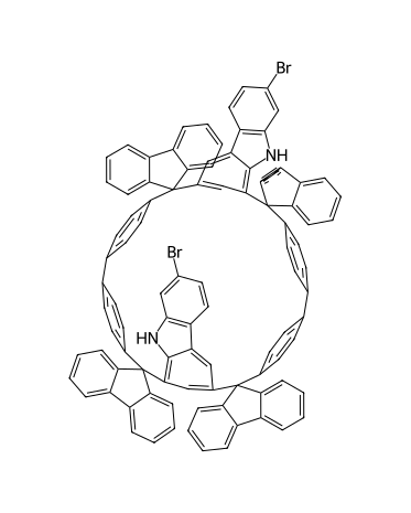 Brc1ccc2c(c1)[nH]c1c3cc(cc12)C1(c2ccc(cc2)-c2ccc(cc2)C2(c4ccccc4-c4ccccc42)c2cc(cc4c2[nH]c2cc(Br)ccc24)C2(c4ccc(cc4)-c4ccc(cc4)C34c3ccccc3-c3ccccc34)c3ccccc3-c3ccccc32)c2ccccc2-c2ccccc21